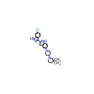 CC1(C)CCCN(C2CCN(c3ccc4[nH]c(-c5n[nH]c6cc(Cl)ccc56)nc4c3)CC2)C1